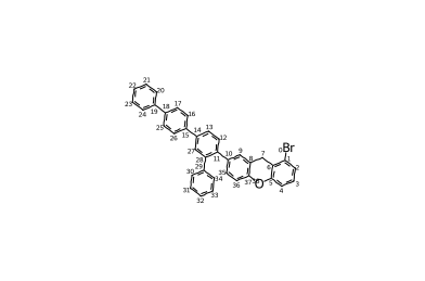 Brc1cccc2c1Cc1cc(-c3ccc(-c4ccc(-c5ccccc5)cc4)cc3-c3ccccc3)ccc1O2